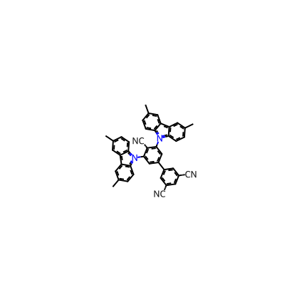 Cc1ccc2c(c1)c1cc(C)ccc1n2-c1cc(-c2cc(C#N)cc(C#N)c2)cc(-n2c3ccc(C)cc3c3cc(C)ccc32)c1C#N